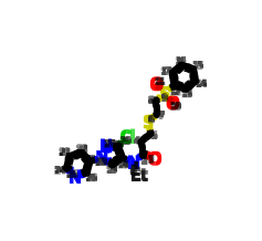 CCN(C(=O)CCSCCS(=O)(=O)c1ccccc1)c1cn(-c2cccnc2)nc1Cl